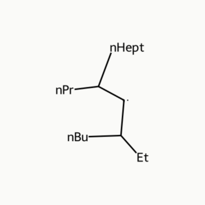 CCCCCCCC([CH]C(CC)CCCC)CCC